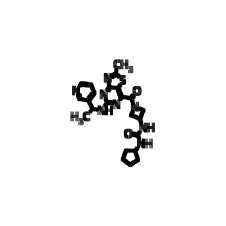 Cc1nc2nc(N[C@@H](C)c3cccnc3)nc(C(=O)N3CC(NC(=O)NC4CCCC4)C3)c2s1